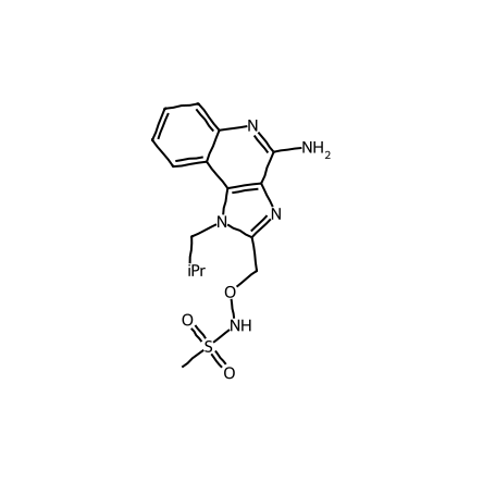 CC(C)Cn1c(CONS(C)(=O)=O)nc2c(N)nc3ccccc3c21